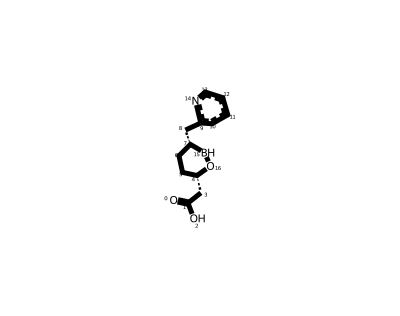 O=C(O)C[C@@H]1CC[C@H](Cc2ccccn2)BO1